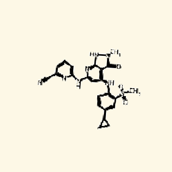 Cn1[nH]c2nc(Nc3cccc(C#N)n3)cc(Nc3ccc(C4CC4)cc3S(C)(=O)=O)c2c1=O